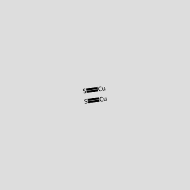 [S]=[Cu].[S]=[Cu]